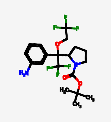 CC(C)(C)OC(=O)N1CCCC1C(OCC(F)(F)F)(c1cccc(N)c1)C(F)(F)F